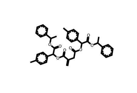 C=C(CC(=O)OC(C(=O)OC(C)c1ccccc1)c1ccc(C)cc1)C(=O)OC(C(=O)OC(C)c1ccccc1)c1ccc(C)cc1